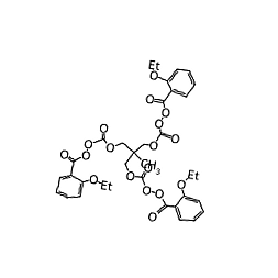 CCOc1ccccc1C(=O)OOC(=O)OCC(C)(COC(=O)OOC(=O)c1ccccc1OCC)COC(=O)OOC(=O)c1ccccc1OCC